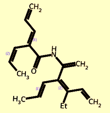 C=C/C=C(\C=C/C)C(=O)NC(=C)C(/C=C/C)=C(\C=C)CC